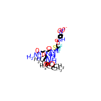 CC(C)C(NC(=O)OC(C)(C)C)C(=O)N[C@H](CCCNC(N)=O)C(=O)Nc1nc(C(F)(F)F)c(COC(=O)Nc2ccc([N+](=O)[O-])cc2)s1